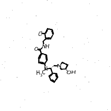 CN(c1ccc(C(=O)NCc2ccccc2Cl)cc1)[C@H](CN1CC[C@H](O)C1)c1ccccc1